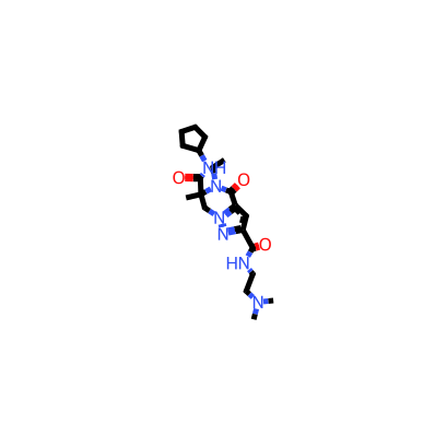 CCN1C(=O)c2cc(C(=O)NCCN(C)C)nn2CC1(C)C(=O)NC1CCCC1